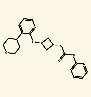 O=C(C[C@H]1C[C@H](Oc2ncccc2C2CCOCC2)C1)Nc1ccccn1